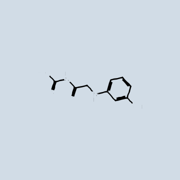 CC(=O)NC(=O)CNc1cccc(O)c1